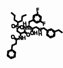 CCCC(CCC)S(=O)(=O)CC(NC(=O)CCc1ccccc1)C(=O)N[C@@H](Cc1cc(F)cc(F)c1)[C@H](O)CNCc1cccc(CC)c1